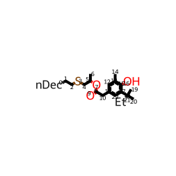 CCCCCCCCCCCCSCC(C)OC(=O)Cc1cc(C)c(O)c(C(C)(C)CC)c1